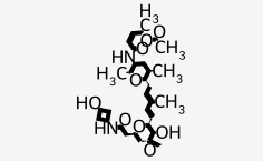 CC(=O)O[C@@H](C)/C=C\C(=O)N[C@@H]1C[C@H](C)[C@H](C/C=C(C)/C=C/[C@H]2O[C@H](CC(=O)N[C@H]3C[C@H](O)C3)C[C@@]3(CO3)[C@@H]2O)O[C@@H]1C